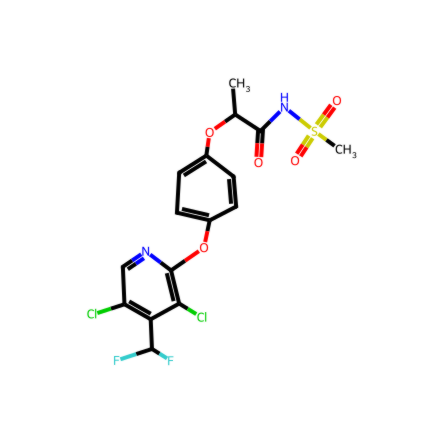 CC(Oc1ccc(Oc2ncc(Cl)c(C(F)F)c2Cl)cc1)C(=O)NS(C)(=O)=O